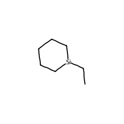 CC[Si]1CCCCC1